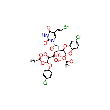 CC(C)C(=O)OC(Oc1ccc(Cl)cc1)C(=O)C(O)[C@H]1O[C@@H](n2cc(C=CBr)c(=O)[nH]c2=O)C[C@@]1(O)C(=O)C(OC(=O)C(C)C)Oc1ccc(Cl)cc1